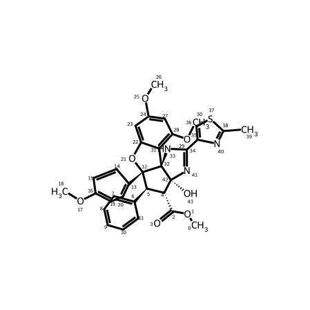 COC(=O)[C@@H]1[C@@H](c2ccccc2)[C@]2(c3ccc(OC)cc3)Oc3cc(OC)cc(OC)c3[C@@]23NC(c2csc(C)n2)=N[C@@]13O